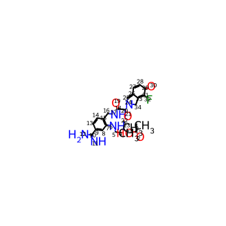 CC(=O)O.CCNc1cc(C(=N)N)ccc1CNC(=O)C(OCC)N1C=C2C=CC(=O)C(F)=C2C1